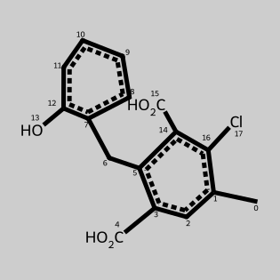 Cc1cc(C(=O)O)c(Cc2ccccc2O)c(C(=O)O)c1Cl